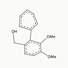 COc1ccc(CO)c(-c2ccccc2)c1OC